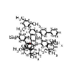 Cc1cc(C)c(-c2cc3c4c(c2)N(c2ccc(C(C)(C)C)cc2-c2ccccc2)c2c(oc5cc6c(cc25)C(C)(C)CCC6(C)C)B4N(c2ccc4c(c2)C(C)(C)CCC4(C)C)c2cc(-c4ccccc4)ccc2-3)c(C)c1